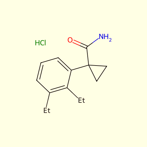 CCc1cccc(C2(C(N)=O)CC2)c1CC.Cl